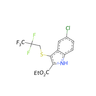 CCOC(=O)c1[nH]c2ccc(Cl)cc2c1SCC(F)(F)C(F)(F)F